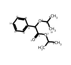 CC(C)OC(=O)C(OC(C)C)c1ccccc1